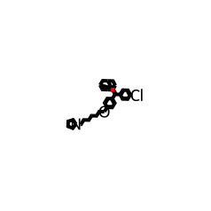 Clc1ccc(C(=C2C3CC4CC(C3)CC2C4)c2ccc(OCCCCCCN3CCCC3)cc2)cc1